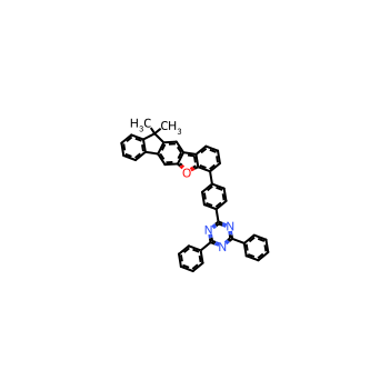 CC1(C)c2ccccc2-c2cc3oc4c(-c5ccc(-c6nc(-c7ccccc7)nc(-c7ccccc7)n6)cc5)cccc4c3cc21